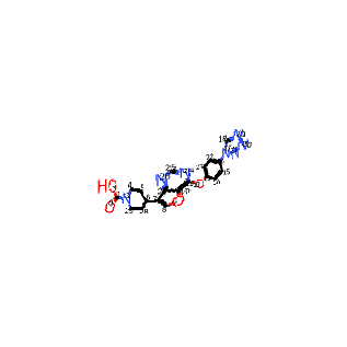 O=C(O)N1CCC(c2coc3c(Oc4ccc(-n5cnnn5)cc4)ncnc23)CC1